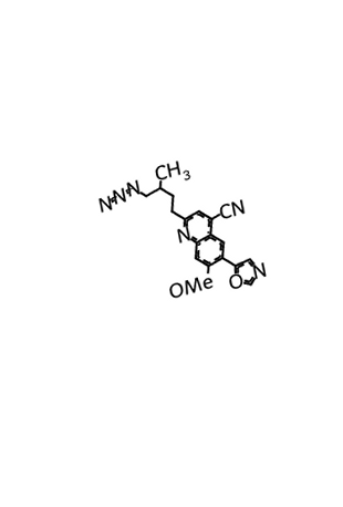 COc1cc2nc(CCC(C)CN=[N+]=[N-])cc(C#N)c2cc1-c1cnco1